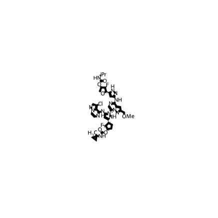 COCc1cc2c(Nc3cc([C@H]4OC[C@@H](OC(=O)NC(C)C)[C@@H]4F)[nH]n3)ncc(-[n+]3[nH]c([C@@H]4CC[C@H](OC(=O)NC5(C)CC5)[C@@H]4F)cc3Nc3nccn4ncc(Cl)c34)n2n1